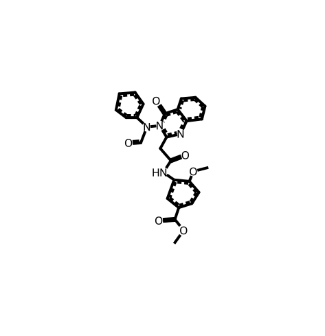 COC(=O)c1ccc(OC)c(NC(=O)Cc2nc3ccccc3c(=O)n2N(C=O)c2ccccc2)c1